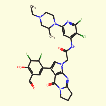 CCN1CCN(c2cc(NC(=O)Cn3cc(C4=CC(C=O)=C(O)C(F)C4F)c4c(=O)n5c(nc43)CCC5)c(Cl)c(F)n2)C(C)C1